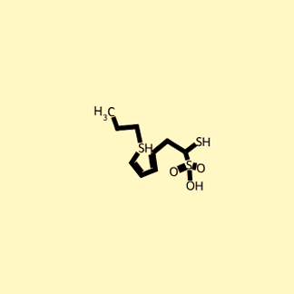 CCC[SH]1C=CC=C1CC(S)S(=O)(=O)O